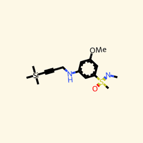 CN=S(C)(=O)c1cc(NCC#C[Si](C)(C)C)cc(OC)c1